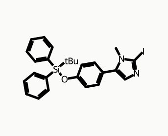 Cn1c(-c2ccc(O[Si](c3ccccc3)(c3ccccc3)C(C)(C)C)cc2)cnc1I